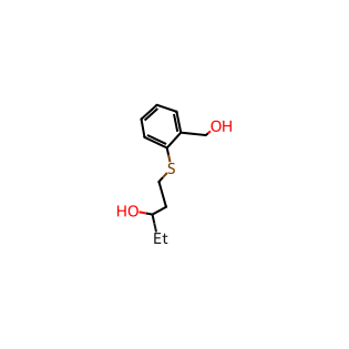 CCC(O)CCSc1ccccc1CO